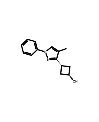 Cc1cn(-c2ccccc2)nc1[C@H]1C[C@H](O)C1